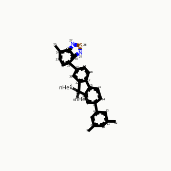 CCCCCCC1(CCCCCC)c2cc(-c3cc(C)cc(C)c3)ccc2-c2ccc(-c3ccc(C)c4nsnc34)cc21